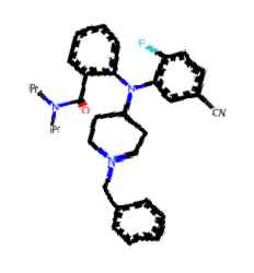 CC(C)N(C(=O)c1ccccc1N(c1cc(C#N)ccc1F)C1CCN(Cc2ccccc2)CC1)C(C)C